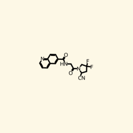 N#CC1CC(F)(F)CN1C(=O)CNC(=O)c1ccc2ncccc2c1